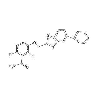 NC(=O)c1c(F)ccc(OCc2nc3cc(-c4ccccc4)ccc3s2)c1F